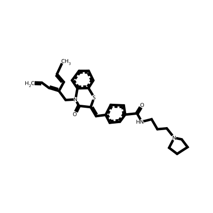 C=C/C=C(\C=C\C)CN1C(=O)/C(=C/c2ccc(C(=O)NCCCN3CCCC3)cc2)Sc2ccccc21